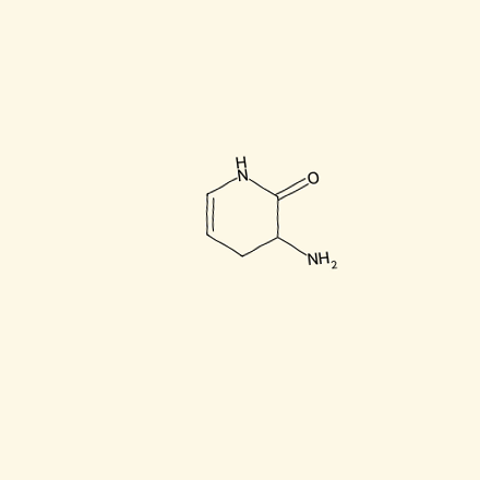 NC1CC=CNC1=O